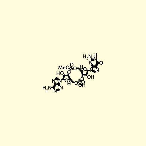 COP1(=O)OC[C@H]2O[C@@H](n3cnc4c(=O)[nH]c(N)nc43)C(O)C2OP(=O)(O)OC[C@H]2O[C@@H](n3cnc4c(N)ncnc43)C(O)C2O1